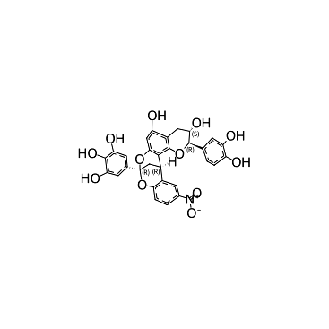 O=[N+]([O-])c1ccc2c(c1)[C@H]1C[C@@](c3cc(O)c(O)c(O)c3)(O2)Oc2cc(O)c3c(c21)O[C@H](c1ccc(O)c(O)c1)[C@@H](O)C3